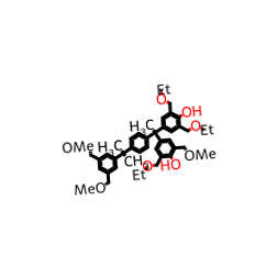 CCOCc1cc(C(C)(c2ccc(C(C)(C)c3cc(COC)cc(COC)c3)cc2)c2cc(COCC)c(O)c(COCC)c2)cc(COC)c1O